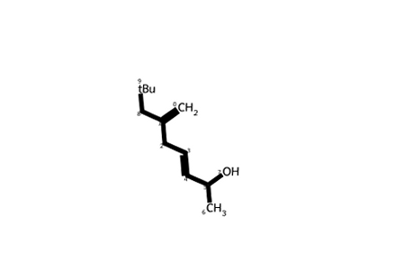 C=C(C/C=C/C(C)O)CC(C)(C)C